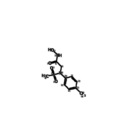 CS(=O)(=O)N(CC(=O)NO)c1ccc(C(F)(F)F)cc1